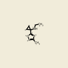 CCNC1(c2nc(C)no2)CC1